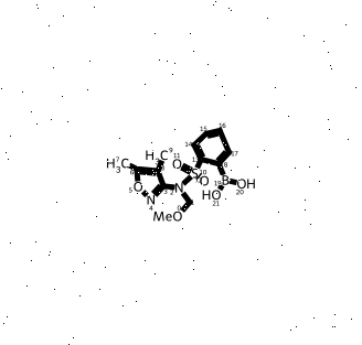 COCN(c1noc(C)c1C)S(=O)(=O)c1ccccc1B(O)O